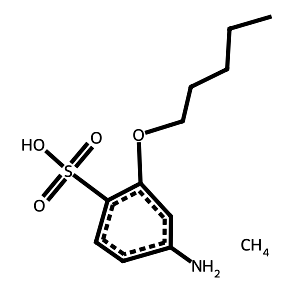 C.CCCCCOc1cc(N)ccc1S(=O)(=O)O